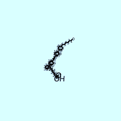 CCCCCCC[C@H]1CC[C@H](c2ccc(C#Cc3ccc(C4(CCCCCCC(=O)O)CCCC4)cc3)cc2)CC1